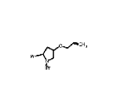 C=CCOC1CC(C(C)C)N(C(C)C)C1